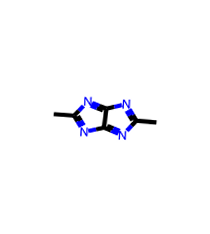 CC1=NC2=NC(C)=NC2=N1